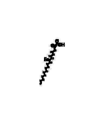 CCCCCCCCCCCCCC=CC=CC1=C(C(=O)O)O1.[Fe]